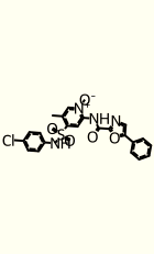 Cc1c[n+]([O-])c(NC(=O)c2ncc(-c3ccccc3)o2)cc1S(=O)(=O)Nc1ccc(Cl)cc1